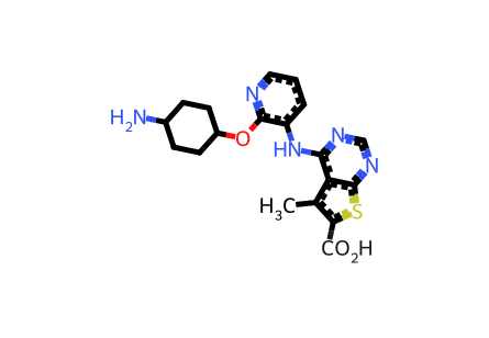 Cc1c(C(=O)O)sc2ncnc(Nc3cccnc3OC3CCC(N)CC3)c12